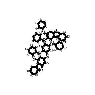 c1ccc(N2c3ccccc3B3c4cc5c(cc4N(c4ccccc4)c4c3c2cc2sc3ccccc3c42)Sc2cc3sc4ccccc4c3c3c2B5c2ccccc2S3)cc1